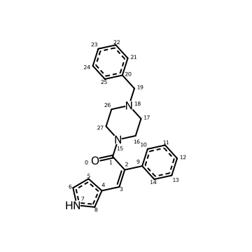 O=C(C(=Cc1cc[nH]c1)c1ccccc1)N1CCN(Cc2ccccc2)CC1